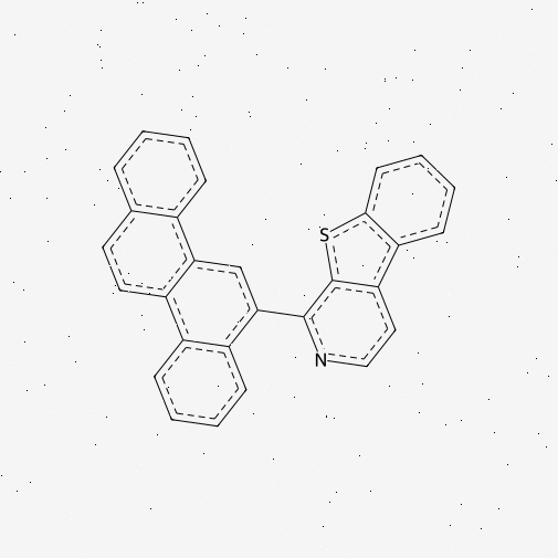 c1ccc2c(c1)ccc1c3ccccc3c(-c3nccc4c3sc3ccccc34)cc21